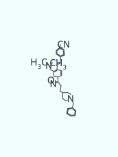 CN(C)CC1=C(/C=C/c2ccc(C#N)cc2)C=CC2C(CCC3CCN(Cc4ccccc4)CC3)=NOC12